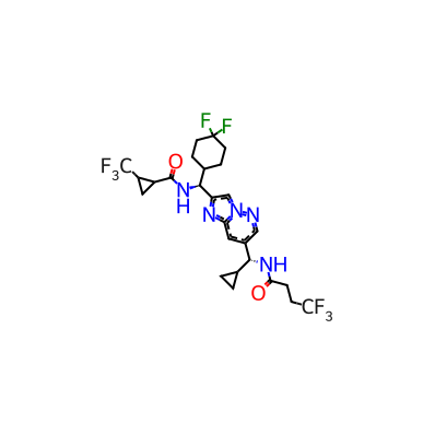 O=C(CCC(F)(F)F)N[C@@H](c1cnn2cc([C@@H](NC(=O)C3CC3C(F)(F)F)C3CCC(F)(F)CC3)nc2c1)C1CC1